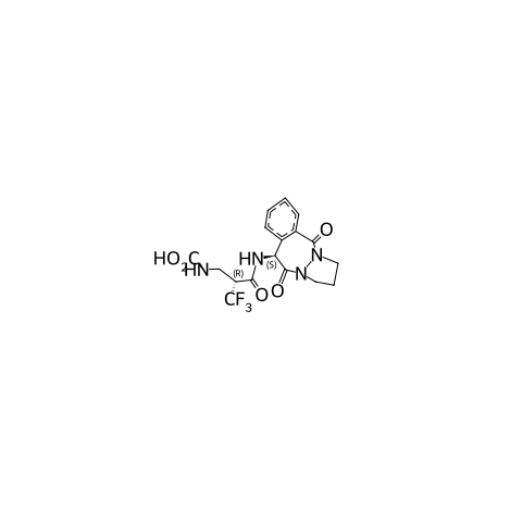 O=C(O)NC[C@H](C(=O)N[C@@H]1C(=O)N2CCCN2C(=O)c2ccccc21)C(F)(F)F